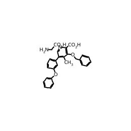 Cc1c(-c2cccc(Oc3ccccc3)c2)cnc(C(=O)O)c1OCc1ccccc1.NCC(=O)O